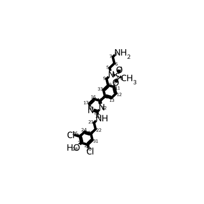 CS(=O)(=O)N(CCCN)Cc1cccc(-c2ccnc(NCCc3cc(Cl)c(O)c(Cl)c3)n2)c1